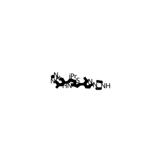 Cc1nc(N2CCNCC2)ccc1-c1cc2[nH]c(-c3cc(C)c4ncnn4c3)c(C(C)C)c2s1